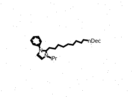 CCCCCCCCCCCCCCCCCCCC1N(c2ccccc2)C=CN1C(C)C